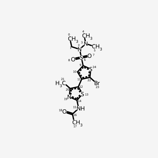 CCN(N(C)C)S(=O)(=O)c1cc(-c2sc(NC(C)=O)nc2C)c(Br)s1